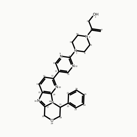 C=C(CO)N1CCN(c2ncc(-c3ccc4nc5n(c4n3)C(c3ccccc3)COC5)cn2)CC1